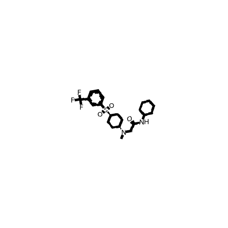 CN(CC(=O)NC1CCCCC1)[C@H]1CC[C@H](S(=O)(=O)c2cccc(C(F)(F)F)c2)CC1